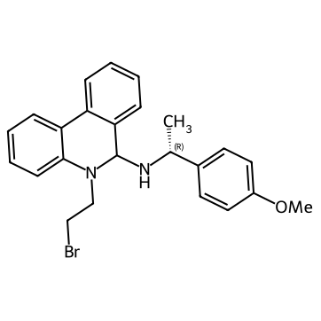 COc1ccc([C@@H](C)NC2c3ccccc3-c3ccccc3N2CCBr)cc1